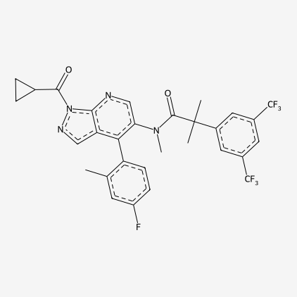 Cc1cc(F)ccc1-c1c(N(C)C(=O)C(C)(C)c2cc(C(F)(F)F)cc(C(F)(F)F)c2)cnc2c1cnn2C(=O)C1CC1